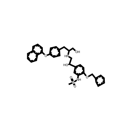 CS(=O)(=O)Nc1cc([C@@H](O)CNC(CO)Cc2ccc(Oc3cccc4ccccc34)cc2)ccc1OCc1ccccc1